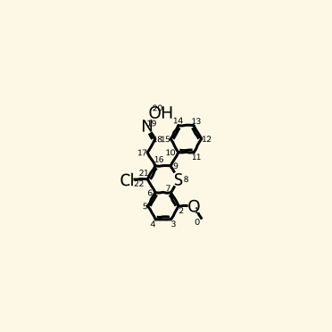 COc1cccc2c1SC(c1ccccc1)C(CC=NO)=C2Cl